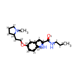 CCCNC(=O)c1cc2cc(OCCC3CCCN3C)ccc2[nH]1